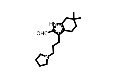 CC1(C)CCc2c([nH]c(C=O)c2CCCN2CCCC2)C1